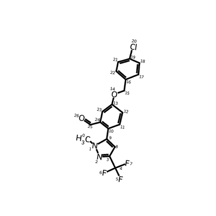 Cn1nc(C(F)(F)F)cc1-c1ccc(OCc2ccc(Cl)cc2)cc1C=O